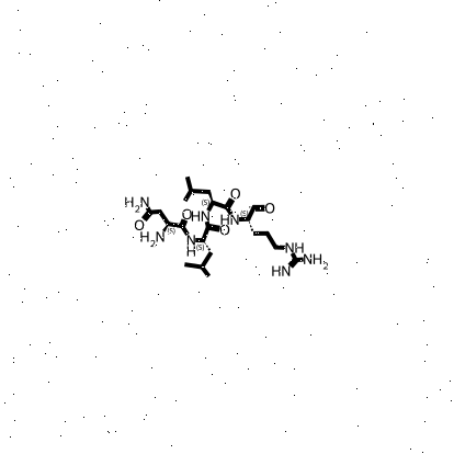 CC(C)C[C@H](NC(=O)[C@H](CC(C)C)NC(=O)[C@@H](N)CC(N)=O)C(=O)N[C@H]([C]=O)CCCNC(=N)N